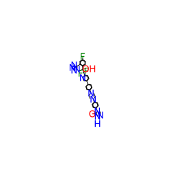 O=c1[nH]ncn1-c1ccc(N2CCN(c3ccc(-c4ccc(C(F)(F)[C@]5(O)Cn6nnnc6-c6cc(F)ccc65)nc4)cc3)CC2)cc1